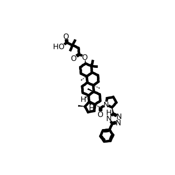 C[C@@H]1CC[C@]2(C(=O)N3CCC[C@H]3c3nnc(-c4ccccc4)[nH]3)CC[C@]3(C)[C@H](CCC4[C@@]5(C)CC[C@H](OC(=O)CC(C)(C)C(=O)O)C(C)(C)C5CC[C@]43C)[C@@H]12